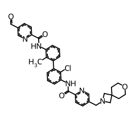 Cc1c(NC(=O)c2ccc(C=O)cn2)cccc1-c1cccc(NC(=O)c2ccc(CN3CC4(CCOCC4)C3)cn2)c1Cl